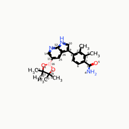 Cc1c(C(N)=O)ccc(-c2c[nH]c3ncc(B4OC(C)(C)C(C)(C)O4)cc23)c1C